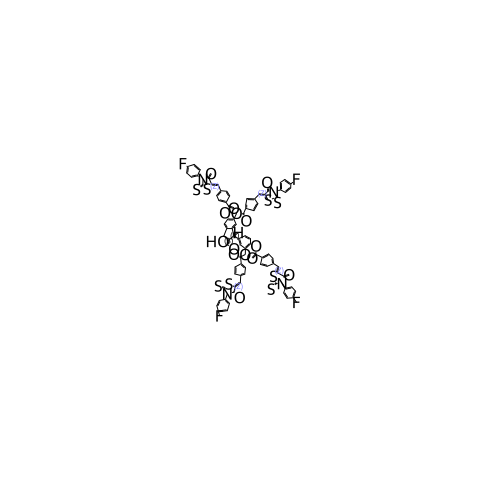 O=C(Oc1cc2c(cc1OC(=O)c1ccc(/C=C3\SC(=S)N(c4ccc(F)cc4)C3=O)cc1)[C@@H]1c3ccc(OC(=O)c4ccc(/C=C5\SC(=S)N(c6ccc(F)cc6)C5=O)cc4)c(OC(=O)c4ccc(/C=C5\SC(=S)N(c6ccc(F)cc6)C5=O)cc4)c3OC[C@]1(O)C2)c1ccc(/C=C2\SC(=S)N(c3ccc(F)cc3)C2=O)cc1